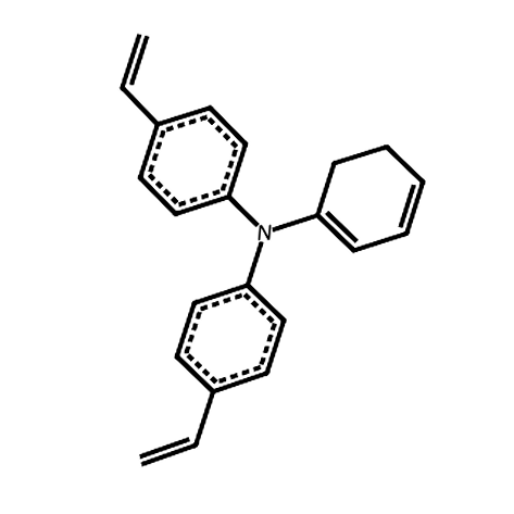 C=Cc1ccc(N(C2=CC=CCC2)c2ccc(C=C)cc2)cc1